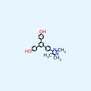 Cc1nc(C)c(C)c(-c2ccc(-c3cc(-c4ccc(O)cc4)cc(-c4ccc(O)cc4)c3)cc2)n1